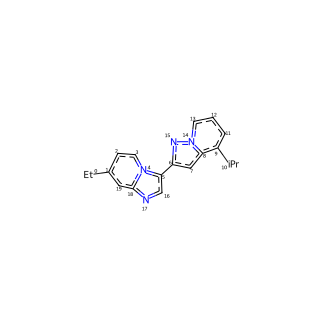 CCc1ccn2c(-c3cc4c(C(C)C)cccn4n3)cnc2c1